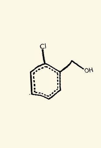 OCc1cc[c]cc1Cl